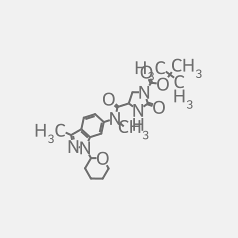 Cc1nn(C2CCCCO2)c2cc(N(C)C(=O)C3CN(C(=O)OC(C)(C)C)C(=O)N3)ccc12